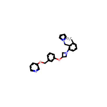 O=C(O)c1cccc(N2CC(Oc3cccc(COc4cccnc4)c3)C2)c1Cn1cccc1